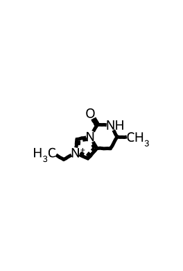 CC[n+]1cc2n(c1)C(=O)NC(C)C2